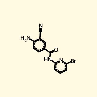 N#Cc1cc(C(=O)Nc2cccc(Br)n2)ccc1N